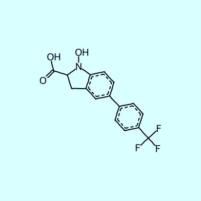 O=C(O)C1Cc2cc(-c3ccc(C(F)(F)F)cc3)ccc2N1O